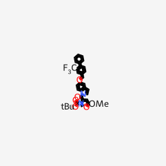 COC(=O)CC(C(=O)N1CCc2cc(OCc3ccc(C4CCCCC4)c(C(F)(F)F)c3)ccc21)N(C)C(=O)OC(C)(C)C